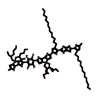 CCCCCCCCCCCCCCc1cc(C)sc1-c1nc2sc(-c3sc(-c4cc5c(s4)-c4sc(-c6c(F)c(F)c(-c7cc8c(s7)-c7sc(C)cc7[Si]8(CC(CC)CCCC)CC(CC)CCCC)c(F)c6F)cc4[Si]5(CC(CC)CCCC)CC(CC)CCCC)cc3CCCCCCCCCCCCCC)nc2s1